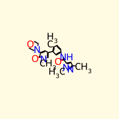 Cc1cc(C(=O)Nc2ccc(C)c(-c3cc(N4CCOCC4)c(=O)n(C)c3)c2)n(C)n1